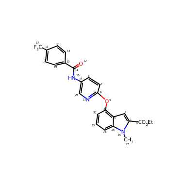 CCOC(=O)c1cc2c(Oc3ccc(NC(=O)c4ccc(C(F)(F)F)cc4)cn3)cccc2n1C